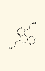 OCCc1cc2ccccc2c2c(CCO)cccc12